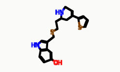 Oc1ccc2[nH]cc(CSCCC3CC(c4cccs4)=CCN3)c2c1